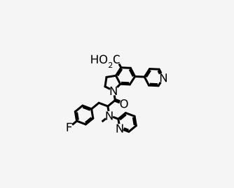 CN(c1ccccn1)C(Cc1ccc(F)cc1)C(=O)N1CCc2c(C(=O)O)cc(-c3ccncc3)cc21